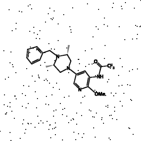 COc1ncc(N2C[C@@H](C)N(Cc3ccccc3)[C@@H](C)C2)cc1NC(=O)C(F)(F)F